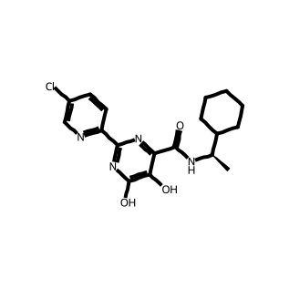 C[C@@H](NC(=O)c1nc(-c2ccc(Cl)cn2)nc(O)c1O)C1CCCCC1